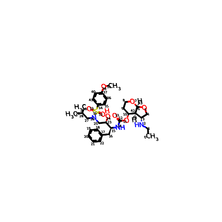 CCN[C@H]1CO[C@@H]2OCC[C@H](OC(=O)N[C@@H](Cc3ccccc3)[C@H](O)CN(CC(C)C)S(=O)(=O)c3ccc(OC)cc3)[C@@H]21